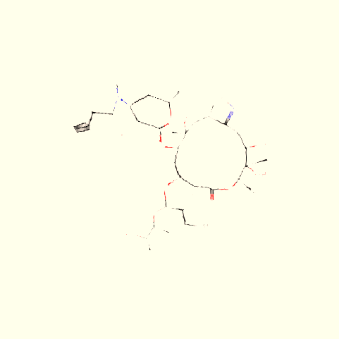 C#CCCN(C)[C@H]1C[C@@H](C)O[C@@H](O[C@@H]2[C@@H](C)[C@H](O[C@@H](CCOC)O[C@@H](C)[C@@H](C)O)[C@@H](C)C(=O)O[C@H](CC)[C@@](C)(O)[C@H](O)[C@@H](C)/C(=N/O)[C@H](C)C[C@@]2(C)O)[C@@H]1O